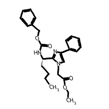 CCCC[C@H](NC(=O)OCc1ccccc1)c1nc(-c2ccccc2)cn1CC(=O)OCC